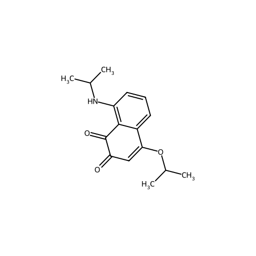 CC(C)Nc1cccc2c1C(=O)C(=O)C=C2OC(C)C